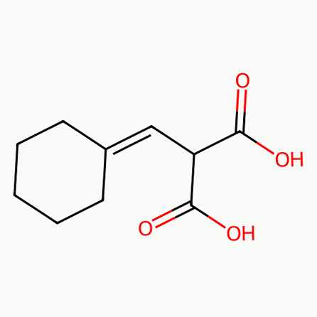 O=C(O)C(C=C1CCCCC1)C(=O)O